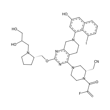 C=C(F)C(=O)N1CCN(c2nc(OC[C@@H]3CCCN3CC(O)CO)nc3c2CCN(c2cc(O)cc4cccc(I)c24)C3)C[C@@H]1CC#N